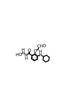 O=CCOc1c(NC2CCCCC2)cccc1C(=O)NNO